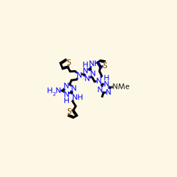 CNC1=NC(C)N=C(N(CCc2cccs2)CC2N=C(N)NC(N(CCc3cccs3)CCC3N=C(N)NC(NCCc4cccs4)=N3)=N2)N1